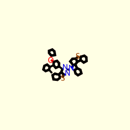 Cc1ccccc1-c1cc(-c2nc(-n3c4ccccc4c4c5c(ccc43)sc3ccccc35)nc3sc4ccccc4c23)ccc1Oc1ccccc1